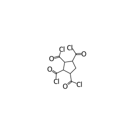 O=C(Cl)C1CC(C(=O)Cl)C(C(=O)Cl)C1C(=O)Cl